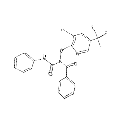 O=C(Nc1ccccc1)N(Oc1ncc(C(F)(F)F)cc1Cl)C(=O)c1ccccc1